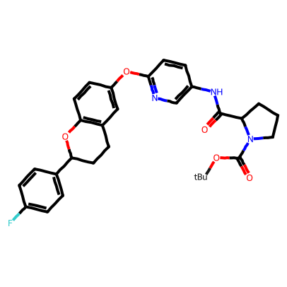 CC(C)(C)OC(=O)N1CCCC1C(=O)Nc1ccc(Oc2ccc3c(c2)CCC(c2ccc(F)cc2)O3)nc1